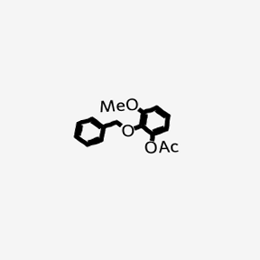 COc1cccc(OC(C)=O)c1OCc1ccccc1